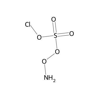 NOOS(=O)(=O)OCl